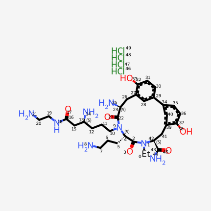 CCN1C(=O)[C@H](CCCN)N(CCC[C@H](N)CC(=O)NCCN)C(=O)[C@@H](N)Cc2cc(ccc2O)-c2ccc(O)c(c2)C[C@H]1C(N)=O.Cl.Cl.Cl.Cl